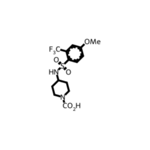 COc1ccc(S(=O)(=O)NC2CCN(C(=O)O)CC2)c(C(F)(F)F)c1